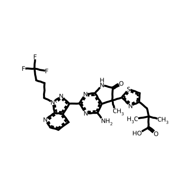 CC(C)(Cc1csc(C2(C)C(=O)Nc3nc(-c4nn(CCCC(F)(F)F)c5ncccc45)nc(N)c32)n1)C(=O)O